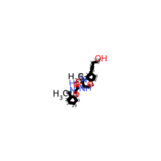 C[C@@H](NC(=O)C(=O)N[C@H]1COc2ccc(C#CCCO)cc2N(C)C1=O)c1ccccc1